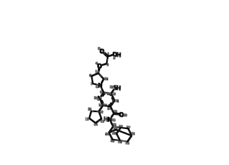 O=C(O)CO[C@@H]1CCN(c2nc(C3CCCC3)c(C(=O)NC3C4CC5CC(C4)CC3C5)cc2S)C1